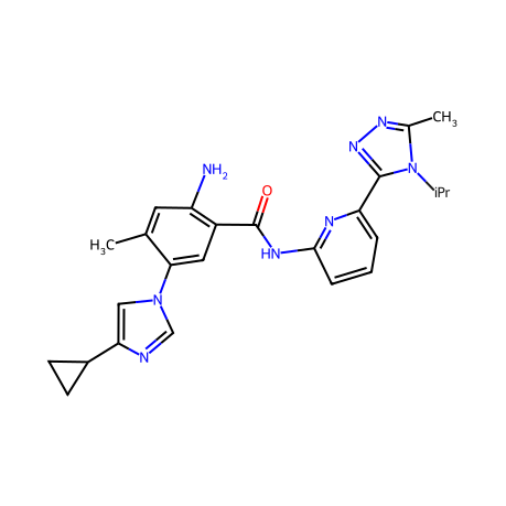 Cc1cc(N)c(C(=O)Nc2cccc(-c3nnc(C)n3C(C)C)n2)cc1-n1cnc(C2CC2)c1